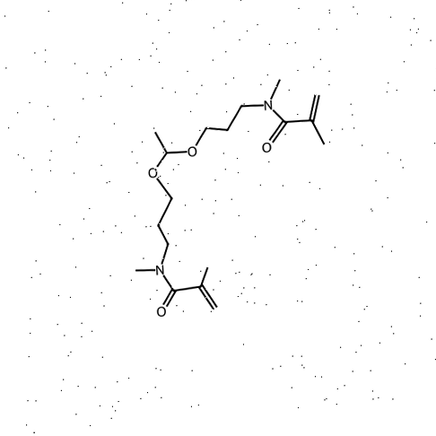 C=C(C)C(=O)N(C)CCCOC(C)OCCCN(C)C(=O)C(=C)C